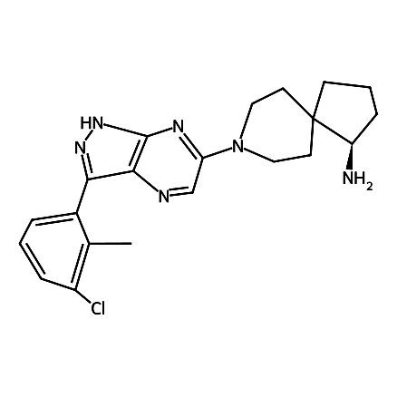 Cc1c(Cl)cccc1-c1n[nH]c2nc(N3CCC4(CCC[C@H]4N)CC3)cnc12